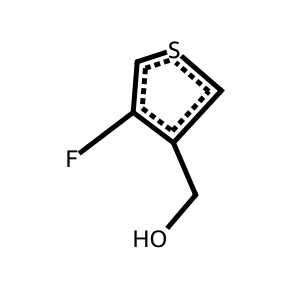 OCc1cscc1F